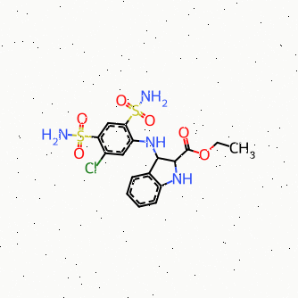 CCOC(=O)C1Nc2ccccc2C1Nc1cc(Cl)c(S(N)(=O)=O)cc1S(N)(=O)=O